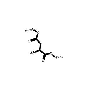 CCCCCOC(=O)CC(N)C(=O)OCCCCC